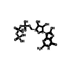 Nc1nc2c(nc(O)n2[C@@H]2O[C@H](COP(=O)(O)OP(=O)(O)OP(=O)(O)O)C(O)C2O)c(=O)[nH]1